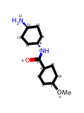 COC1CCC(C(=O)N[C@H]2CC[C@H](N)CC2)CC1